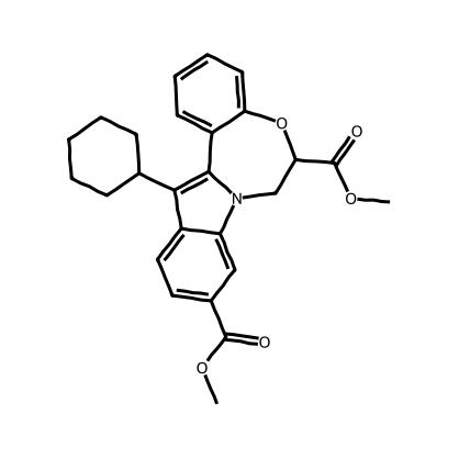 COC(=O)c1ccc2c(C3CCCCC3)c3n(c2c1)CC(C(=O)OC)Oc1ccccc1-3